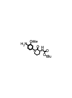 COc1cc(N2CCCC(NC(=O)OC(C)(C)C)C2=O)ccc1N